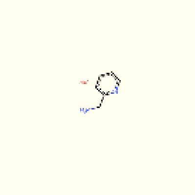 Br.NCc1ccccn1